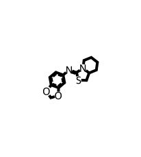 c1cc2c(cc1N=C1SCC3CCCCN13)OCO2